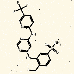 NS(=O)(=O)c1ccc(CF)c(Nc2cc(Nc3ccc(C(F)(F)F)cn3)ncn2)c1